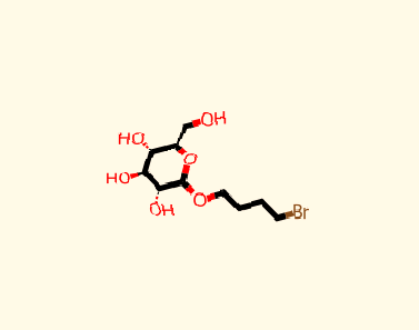 OC[C@H]1OC(OCCCCBr)[C@H](O)[C@@H](O)[C@@H]1O